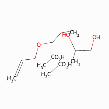 C=CCOCC=C.CC(=O)O.CC(=O)O.CC(O)CO